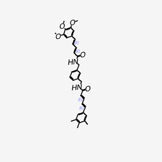 COc1cc(/C=C/C=C/C(=O)NCc2cccc(CNC(=O)/C=C/C=C/c3cc(C)c(C)c(C)c3)c2)cc(OC)c1OC